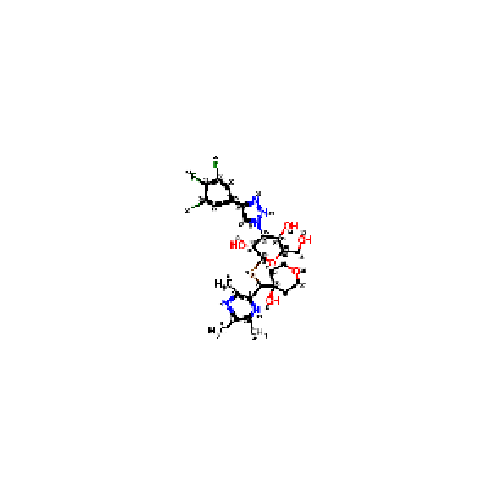 Cc1nc(C)c(C(S[C@@H]2O[C@H](CO)[C@H](O)[C@H](n3cc(-c4cc(F)c(F)c(F)c4)nn3)[C@H]2O)C2(O)CCOCC2)nc1C